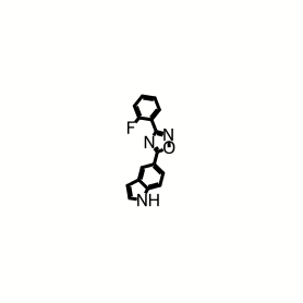 Fc1ccccc1-c1noc(-c2ccc3[nH]ccc3c2)n1